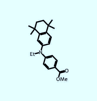 CCN(c1ccc(C(=O)OC)cc1)c1ccc2c(c1)C(C)(C)CCC2(C)C